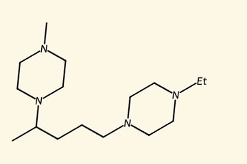 CCN1CCN(CCCC(C)N2CCN(C)CC2)CC1